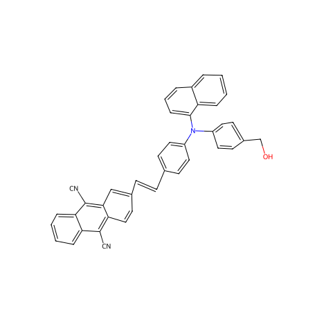 [C-]#[N+]c1c2ccccc2c(C#N)c2ccc(C=Cc3ccc(N(c4ccc(CO)cc4)c4cccc5ccccc45)cc3)cc12